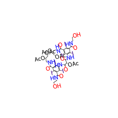 CC(=O)OCC(CNC(=O)c1c(I)c(NC(=O)C(OC(C)=O)C(=O)Nc2c(I)c(C(=O)NCCO)c(I)c(C(=O)NCC(COC(C)=O)OC(C)=O)c2I)c(I)c(C(=O)NCCO)c1I)OC(C)=O